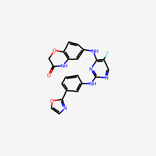 O=C1COc2ccc(Nc3nc(Nc4cccc(-c5ncco5)c4)ncc3F)cc2N1